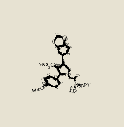 CCCN(CC)C(=O)CN1CC(c2ccc3c(c2)OCO3)C(C(=O)O)C1c1ccc(OC)cc1